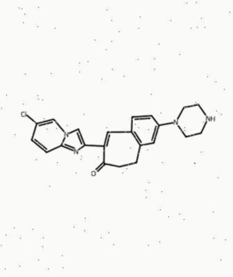 O=C1CCc2cc(N3CCNCC3)ccc2C=C1c1cn2cc(Cl)ccc2n1